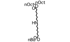 CCCCCCCCC(CCCCCCCC)OC(=O)CCCCCCCNCCCCCCCC(=O)OCCCC